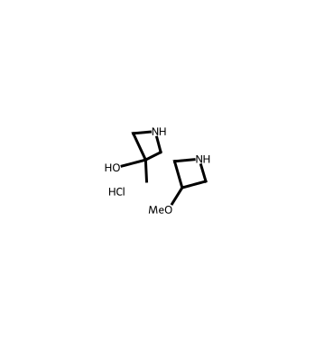 CC1(O)CNC1.COC1CNC1.Cl